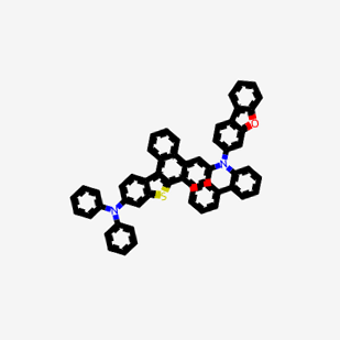 c1ccc(-c2ccccc2N(c2ccc3c(c2)oc2ccccc23)c2ccc3c(c2)c2ccccc2c2c4ccc(N(c5ccccc5)c5ccccc5)cc4sc32)cc1